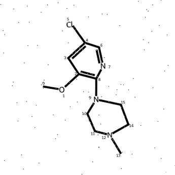 COc1cc(Cl)cnc1N1CCN(C)CC1